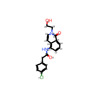 O=C(Cc1ccc(Cl)cc1)Nc1cccc2c(=O)n(CCO)ccc12